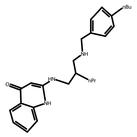 CCCCc1ccc(CNCC(CCC)CNc2cc(=O)c3ccccc3[nH]2)cc1